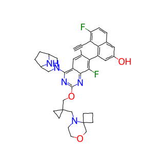 C#Cc1c(F)ccc2cc(O)cc(-c3c(C)cc4c(N5CC6CCC(C5)N6)nc(OCC5(CN6CCOCC67CCC7)CC5)nc4c3F)c12